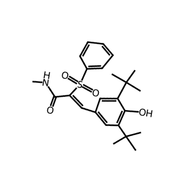 CNC(=O)C(=Cc1cc(C(C)(C)C)c(O)c(C(C)(C)C)c1)S(=O)(=O)c1ccccc1